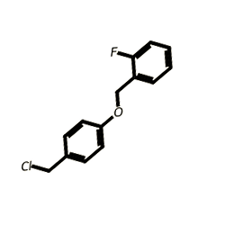 Fc1ccccc1COc1ccc(CCl)cc1